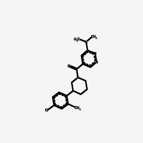 Cc1cc(Cl)ccc1C1CCCN(C(=O)c2cnnc(N(C)C)c2)C1